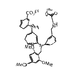 CCOC(=O)c1cccc(NC2=CCC=NC(N(Cc3c(OC)cc(OC)cc3OC)c3cccc(CNC(=O)OC(C)(C)C)c3)=C2)c1